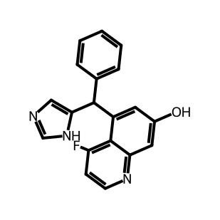 Oc1cc(C(c2ccccc2)c2cnc[nH]2)c2c(F)ccnc2c1